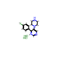 Cl.Cl.Fc1ccc(-c2ncncc2N2CCNCC2)cc1